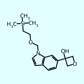 C[Si](C)(C)CCOCn1ccc2ccc(C3(O)COC3)cc21